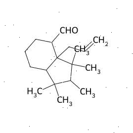 C=CCC12C(C=O)CCCC1C(C)(C)C(C)C2(C)C